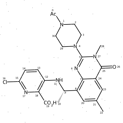 CC(=O)N1CCN(c2nc3c([C@H](C)Nc4ccc(Cl)nc4C(=O)O)cc(C)cc3c(=O)n2C)CC1